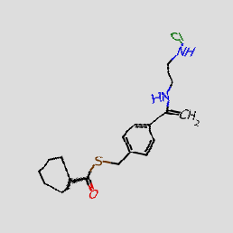 C=C(NCCNCl)c1ccc(CSC(=O)C2CCCCC2)cc1